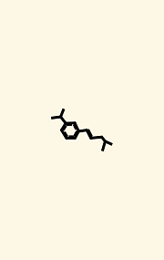 CC(C)CC=Cc1cccc(C(C)C)c1